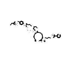 CC[C@H]1OC(=O)[C@H](C)C(=O)[C@H](C)[C@@H](O[C@@H]2O[C@H](C)C[C@H](N(C)CCc3cn(-c4ccc(Cn5cc(CCO)nn5)cc4)nn3)[C@H]2O)[C@](C)(OC)C[C@@H](C)C(=O)[C@H](C)[C@@H]2N(CCCCn3cnc(-c4cccnc4)c3)C(=O)O[C@@]21C